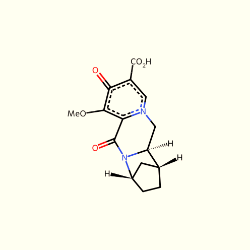 COc1c2n(cc(C(=O)O)c1=O)C[C@H]1[C@@H]3CC[C@@H](C3)N1C2=O